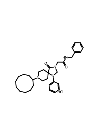 Cl.O=C(CN1CN(c2ccccc2)C2(CCN(C3CCCCCCCCC3)CC2)C1=O)NCc1ccccc1